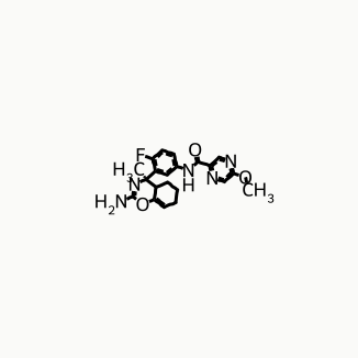 COc1cnc(C(=O)Nc2ccc(F)c([C@@]3(C)N=C(N)OC4=CCCCC43)c2)cn1